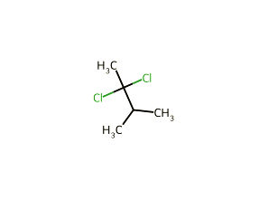 CC(C)C(C)(Cl)Cl